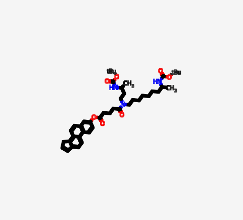 CC(CCCCCCCN(CCC(C)NC(=O)OC(C)(C)C)C(=O)CCCC(=O)Oc1ccc2c(ccc3c4c(ccc32)C=CC4)c1)NC(=O)OC(C)(C)C